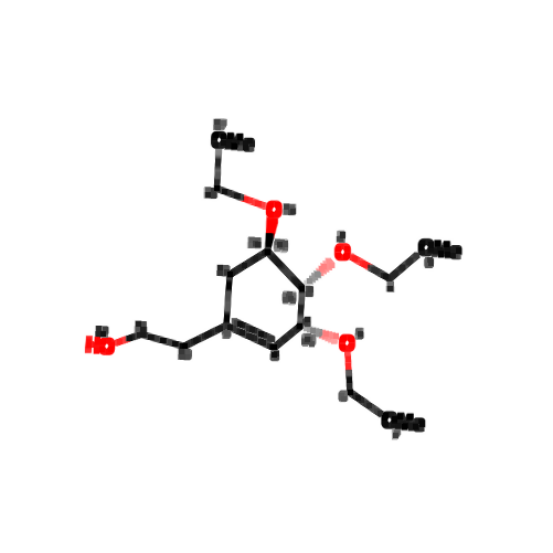 COCO[C@@H]1[C@H](OCOC)C=C(CCO)C[C@H]1OCOC